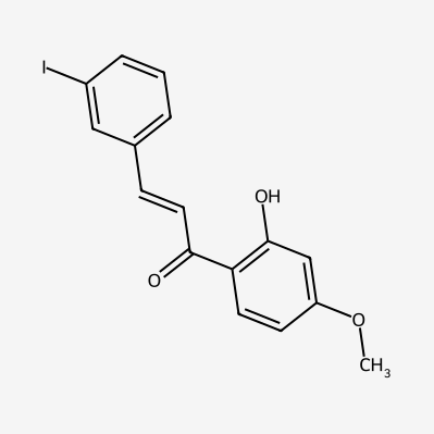 COc1ccc(C(=O)C=Cc2cccc(I)c2)c(O)c1